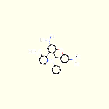 CCN(CC)c1ccc2c(c1)Oc1cc(N(CC)CC)cc(-c3ccccc3C(=O)O)c1C2Nc1ccccc1